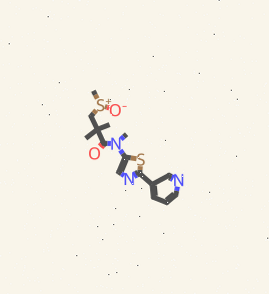 CN(C(=O)C(C)(C)C[S+](C)[O-])c1cnc(-c2cccnc2)s1